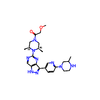 COCC(=O)N1C[C@@H](C)N(c2ncc3[nH]nc(-c4ccc(N5CCNC(C)C5)nc4)c3n2)[C@@H](C)C1